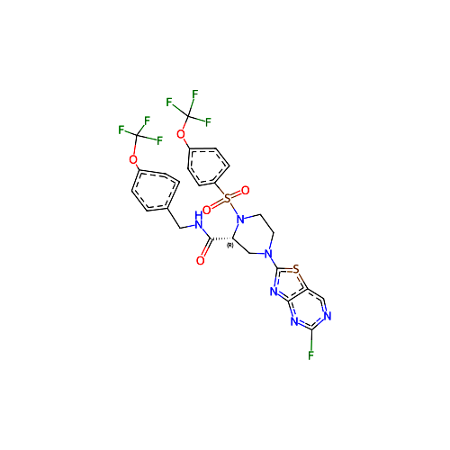 O=C(NCc1ccc(OC(F)(F)F)cc1)[C@H]1CN(c2nc3nc(F)ncc3s2)CCN1S(=O)(=O)c1ccc(OC(F)(F)F)cc1